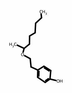 CCCCCCC(C)OCCc1ccc(O)cc1